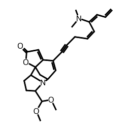 C=C/C=C(\C=C/CC#CC1=CC2CC3(OC(=O)C=C13)C1CCC(C(OC)OC)N21)N(C)C